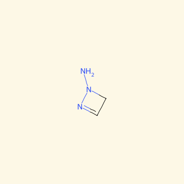 NN1CC=N1